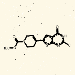 CC(C)(C)OC(=O)N1CC=C(c2cc3c(=O)[nH]c(Cl)nc3s2)CC1